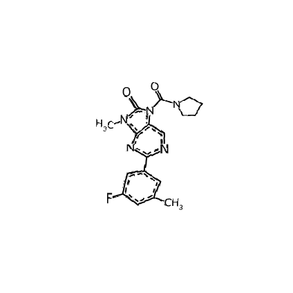 Cc1cc(F)cc(-c2ncc3c(n2)n(C)c(=O)n3C(=O)N2CCCC2)c1